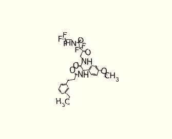 CCc1cccc(CCC(=O)NC(C(=O)NCC(=O)C(F)(F)C(=O)NCC(F)(F)F)c2ccc(OC)cc2)c1